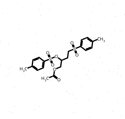 CC(=O)OCC(CCS(=O)(=O)c1ccc(C)cc1)OS(=O)(=O)c1ccc(C)cc1